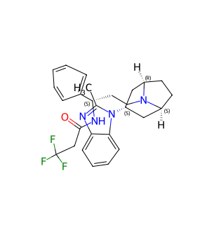 Cc1nc2ccccc2n1[C@@H]1C[C@H]2CC[C@@H](C1)N2CC[C@H](NC(=O)CC(F)(F)F)c1ccccc1